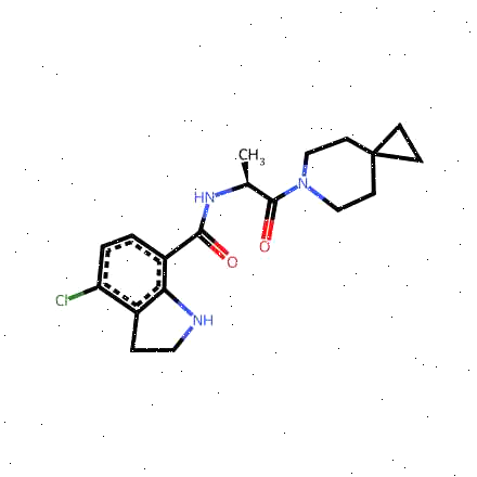 C[C@H](NC(=O)c1ccc(Cl)c2c1NCC2)C(=O)N1CCC2(CC1)CC2